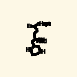 CCCCCCCC(CC)SCC(O)CC1CNCCN1.Cl.Cl